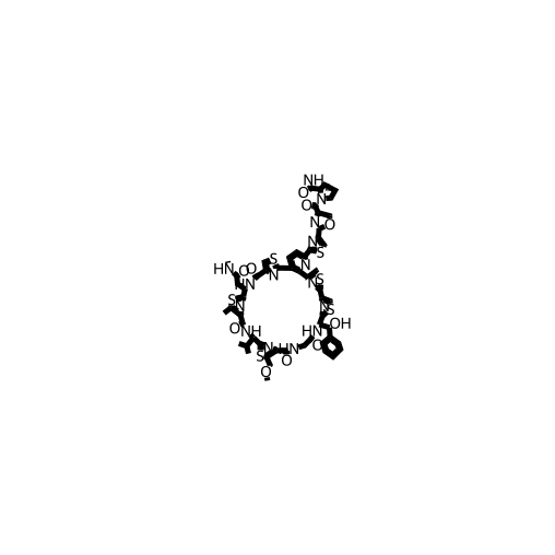 CNC(=O)CC1NC(=O)c2csc(n2)-c2ccc(-c3nc(C4=NC(C(=O)N5CCCC5C(N)=O)CO4)cs3)nc2-c2csc(n2)-c2csc(n2)C(C(O)c2ccccc2)NC(=O)CNC(=O)c2nc(sc2COC)C(C(C)C)NC(=O)c2nc1sc2C